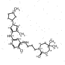 Cc1nn(C2CCN(C)C2)cc1Nc1ncc(Cl)c(NCCCN2CCC(C)(C)COC2=O)n1